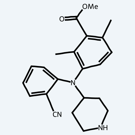 COC(=O)c1c(C)ccc(N(c2ccccc2C#N)C2CCNCC2)c1C